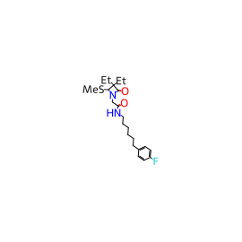 CCC1(CC)C(=O)N(CC(=O)NCCCCCCc2ccc(F)cc2)C1SC